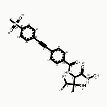 CC(O)(C(F)F)C(NC(=O)c1ccc(C#Cc2ccc(S(C)(=O)=O)cc2)cc1)C(=O)NO